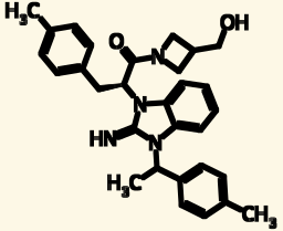 Cc1ccc(C[C@@H](C(=O)N2CC(CO)C2)n2c(=N)n(C(C)c3ccc(C)cc3)c3ccccc32)cc1